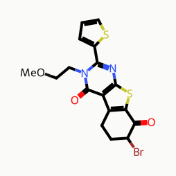 COCCn1c(-c2cccs2)nc2sc3c(c2c1=O)CCC(Br)C3=O